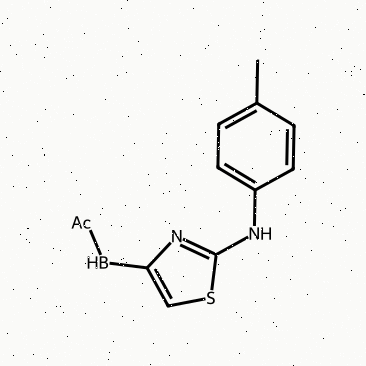 CC(=O)Bc1csc(Nc2ccc(C)cc2)n1